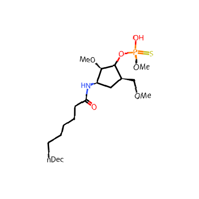 CCCCCCCCCCCCCCCC(=O)N[C@@H]1C[C@H](COC)C(OP(O)(=S)OC)[C@@H]1OC